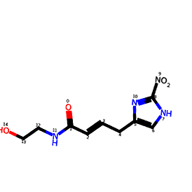 O=C(/C=C/Cc1c[nH]c([N+](=O)[O-])n1)NCCO